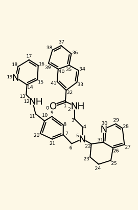 O=C(NCCN(Cc1ccc(CNCc2ccccn2)cc1)C1CCCc2cccnc21)c1ccc2ccccc2c1